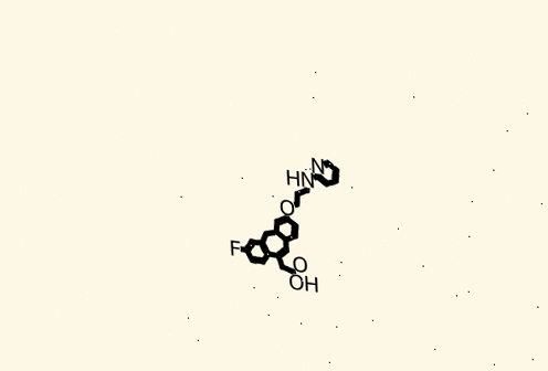 O=C(O)CC1=CC2C=CC(OCCCNc3ccccn3)=CC2Cc2cc(F)ccc21